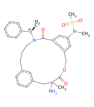 C[C@H](c1ccccc1)N1CCCc2cccc(c2)CC(C)(N)C(=O)OCc2cc(cc(N(C)S(C)(=O)=O)c2)C1=O